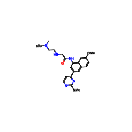 CCCCN(C)CCNCC(=O)Nc1cc(-c2ccnc(NC)n2)cc2ccc(OC)cc12